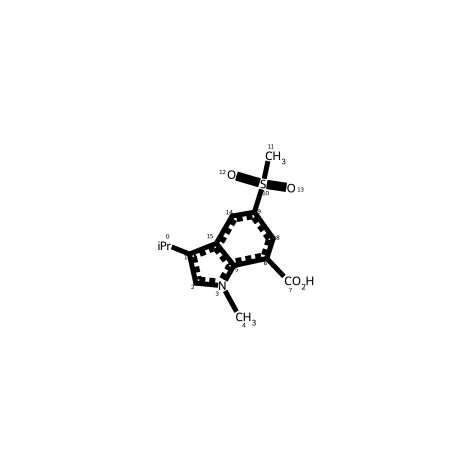 CC(C)c1cn(C)c2c(C(=O)O)cc(S(C)(=O)=O)cc12